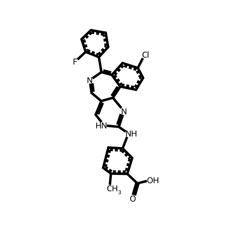 Cc1ccc(NC2=NC3=c4ccc(Cl)cc4=C(c4ccccc4F)N=CC3=CN2)cc1C(=O)O